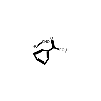 O=C(O)C(=O)c1ccccc1.O=CO